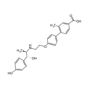 Cc1cc(C(=O)O)ccc1-c1ccc(OCCN[C@H](C)[C@H](O)c2ccc(O)cc2)cc1